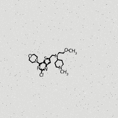 COCCN(Cc1cc2nc(Cl)nc(N3CCOCC3)c2s1)C1CCN(C)CC1